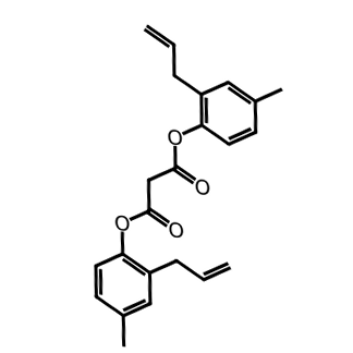 C=CCc1cc(C)ccc1OC(=O)CC(=O)Oc1ccc(C)cc1CC=C